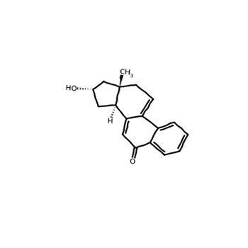 C[C@@]12CC=C3C(=CC(=O)c4ccccc43)[C@H]1C[C@H](O)C2